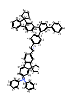 CCC1(CC)c2cc(/C=C/c3ccc(-c4cc(-c5ccccc5)ccc4-c4ccc5c(c4)C4(CCCC4)c4ccccc4-5)cc3)ccc2-c2ccc(N(c3ccccc3)c3ccccc3)cc21